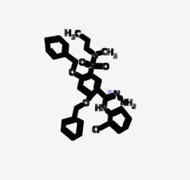 CCCN(C)S(=O)(=O)c1cc(/C(=N/N)Nc2ccccc2Cl)c(OCc2ccccc2)cc1OCc1ccccc1